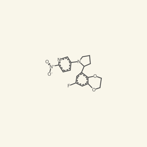 O=[N+]([O-])c1ccc(N2CCCC2c2cc(F)cc3c2OCCO3)cn1